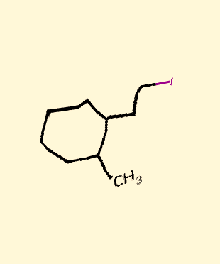 CC1CCCCC1CCI